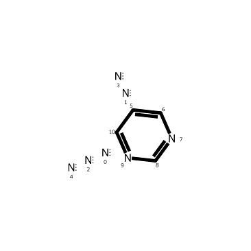 [N].[N].[N].[N].[N].c1cncnc1